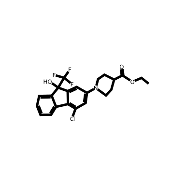 CCOC(=O)C1CCN(c2cc(Cl)c3c(c2)C(O)(C(F)(F)F)c2ccccc2-3)CC1